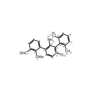 COc1c(C=O)cccc1-c1cc[n+]([O-])c(-c2c(C)cccc2C)c1N